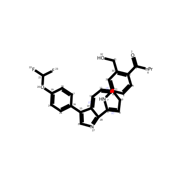 CCCC(=O)c1ccc(N/C2=C\C/C=C\C=C3\C(c4ccc(OC(F)F)cc4)=CN=C23)cc1CO